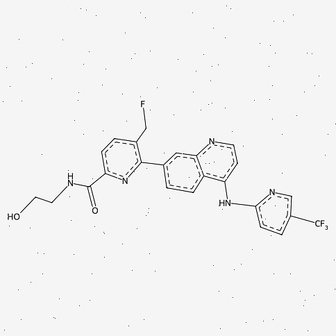 O=C(NCCO)c1ccc(CF)c(-c2ccc3c(Nc4ccc(C(F)(F)F)cn4)ccnc3c2)n1